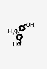 CN(c1ccc(CO)cc1)c1ccc(CO)cc1